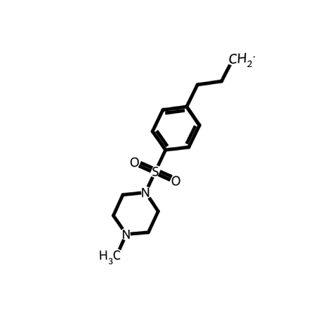 [CH2]CCc1ccc(S(=O)(=O)N2CCN(C)CC2)cc1